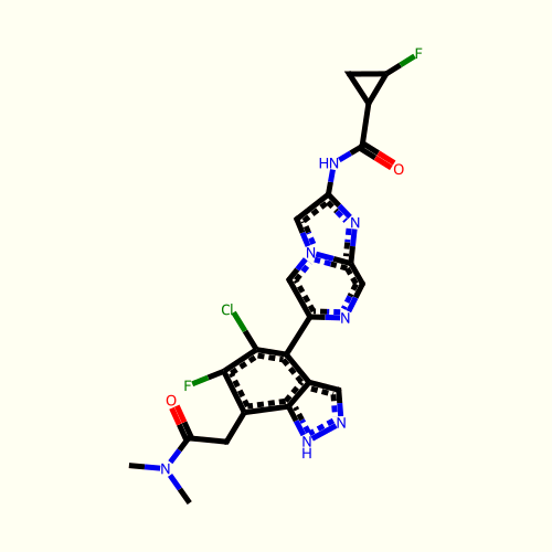 CN(C)C(=O)Cc1c(F)c(Cl)c(-c2cn3cc(NC(=O)C4CC4F)nc3cn2)c2cn[nH]c12